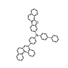 c1ccc(-c2ccc(N(c3ccc(-c4cc5ccc6ccccc6c5c5ccccc45)cc3)c3ccc4c(c3)oc3c5ccccc5ccc43)cc2)cc1